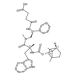 CN(C[C@@H](NC(=O)CCC(=O)O)c1ccccc1)C(=O)[C@@](C)(Cc1c[nH]c2ccccc12)NC(=O)O[C@@H]1C[C@@H]2CCC1(C)C2(C)C